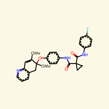 COC1=Cc2ncccc2CC1(OC)Oc1ccc(NC(=O)C2(C(=O)Nc3ccc(F)cc3)CC2)cc1